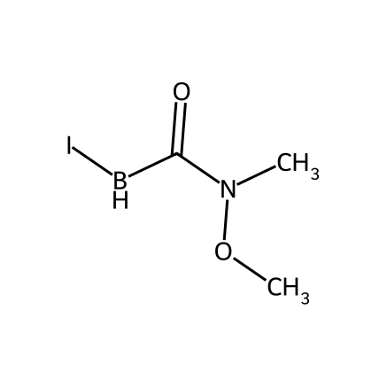 CON(C)C(=O)BI